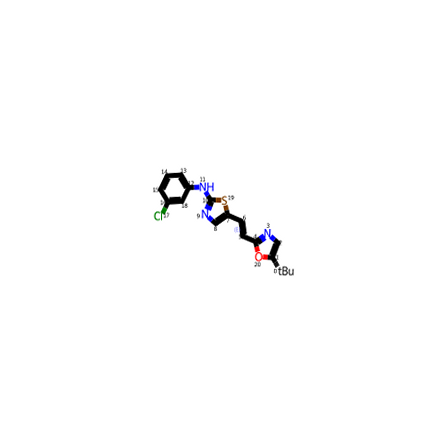 CC(C)(C)c1cnc(/C=C/c2cnc(Nc3cccc(Cl)c3)s2)o1